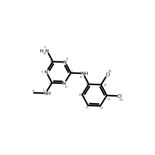 CNc1nc(N)nc(Nc2cccc(Cl)c2Cl)n1